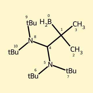 BC(C)(C)C(N(C(C)(C)C)C(C)(C)C)N(C(C)(C)C)C(C)(C)C